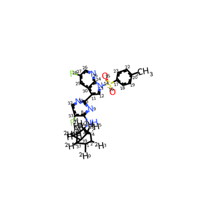 [2H]C1C([2H])[C@]2([2H])[C@H](Nc3nc(-c4cn(S(=O)(=O)c5ccc(C)cc5)c5ncc(F)cc45)ncc3F)[C@@H](C(C)=O)C1([2H])C([2H])([2H])C2([2H])[2H]